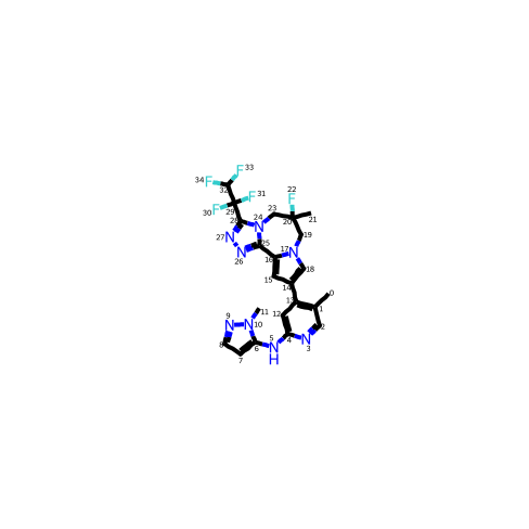 Cc1cnc(Nc2ccnn2C)cc1-c1cc2n(c1)CC(C)(F)Cn1c-2nnc1C(F)(F)C(F)F